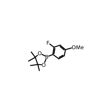 COc1ccc(B2OC(C)(C)C(C)(C)O2)c(F)c1